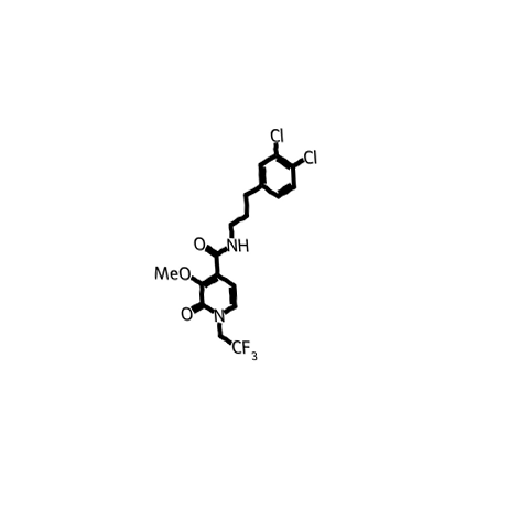 COc1c(C(=O)NCCCc2ccc(Cl)c(Cl)c2)ccn(CC(F)(F)F)c1=O